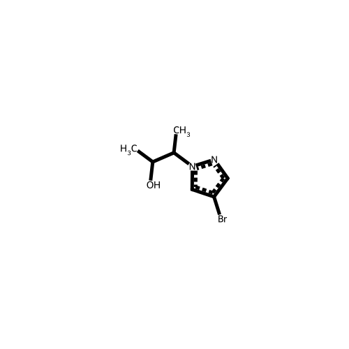 CC(O)C(C)n1cc(Br)cn1